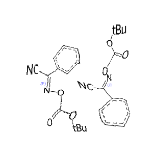 CC(C)(C)OC(=O)O/N=C(/C#N)c1ccccc1.CC(C)(C)OC(=O)O/N=C(\C#N)c1ccccc1